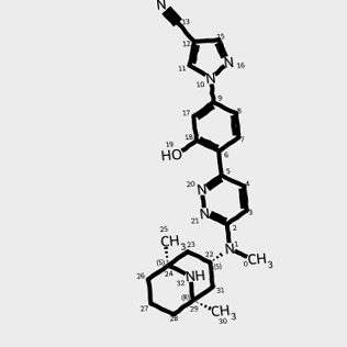 CN(c1ccc(-c2ccc(-n3cc(C#N)cn3)cc2O)nn1)[C@H]1C[C@]2(C)CCC[C@](C)(C1)N2